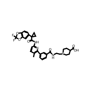 Cc1ccc(NC(=O)C2(c3ccc4c(c3)OC(F)(F)O4)CC2)nc1-c1cccc(C(=O)NCCN2CCC(C(=O)O)CC2)c1